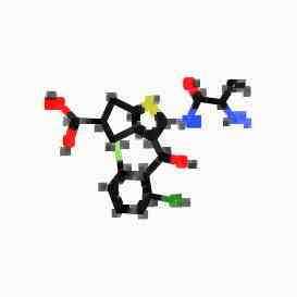 CC(N)C(=O)Nc1sc2c(c1C(=O)c1c(F)cccc1Cl)CC(C(=O)O)C2